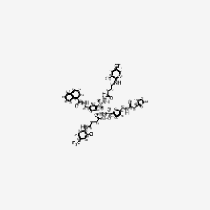 O=C(CCCNc1ncc(C(F)(F)F)cc1Cl)NNS(=O)(=O)c1ccc(CNC(=O)c2cccc3ccccc23)s1.O=C(Cc1cccs1)NCc1ccc(S(=O)(=O)NNC(=O)CCCNc2ncc(C(F)(F)F)cc2Cl)s1